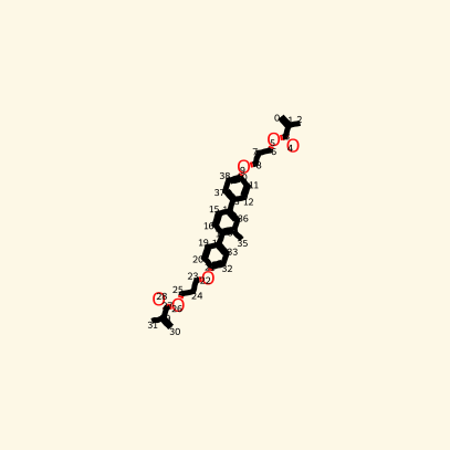 C=C(C)C(=O)OCCCOc1ccc(-c2ccc(-c3ccc(OCCCOC(=O)C(=C)C)cc3)c(C)c2)cc1